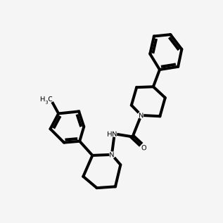 Cc1ccc(C2CCCCN2NC(=O)N2CCC(c3ccccc3)CC2)cc1